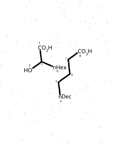 CCCCCCC(O)C(=O)O.CCCCCCCCCCCCCC(=O)O